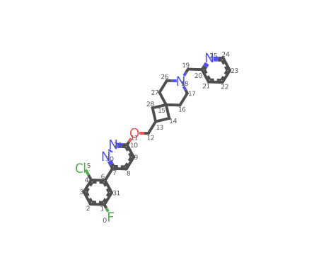 Fc1ccc(Cl)c(-c2ccc(OCC3CC4(CCN(Cc5ccccn5)CC4)C3)nn2)c1